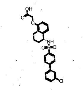 O=C(O)COc1cccc2c1CCC[C@H]2NS(=O)(=O)c1ccc(-c2cccc(Cl)c2)cc1